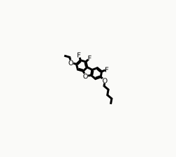 CCCCCOc1cc2oc3cc(OCC)c(F)c(F)c3c2cc1F